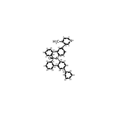 Cc1ccncc1-c1ccc2c(c1)-c1ccccc1P1(=O)c3ccccc3-c3cc(-c4ccccc4)ccc3N21